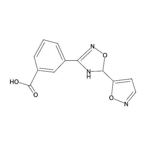 O=C(O)c1cccc(C2=NOC(c3ccno3)N2)c1